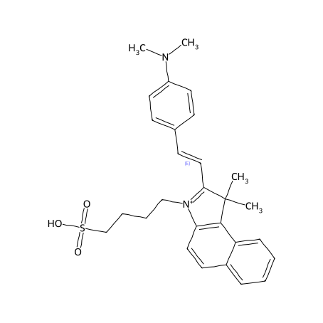 CN(C)c1ccc(/C=C/C2=[N+](CCCCS(=O)(=O)O)c3ccc4ccccc4c3C2(C)C)cc1